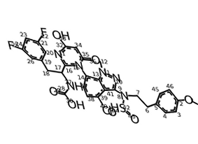 COc1ccc(CCN(c2nn(C)c3c(-n4c(C(Cc5cc(F)cc(F)c5)NC(=O)O)nc(O)cc4=O)ccc(Cl)c23)[SH](=O)=O)cc1